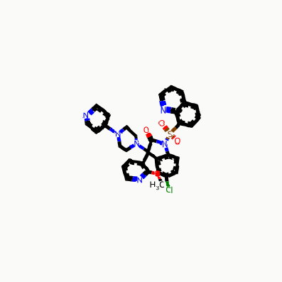 COc1ncccc1C1(N2CCN(c3ccncc3)CC2)C(=O)N(S(=O)(=O)c2cccc3cccnc23)c2ccc(Cl)cc21